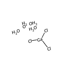 O.O.O.O.[Cl][Ga]([Cl])[Cl]